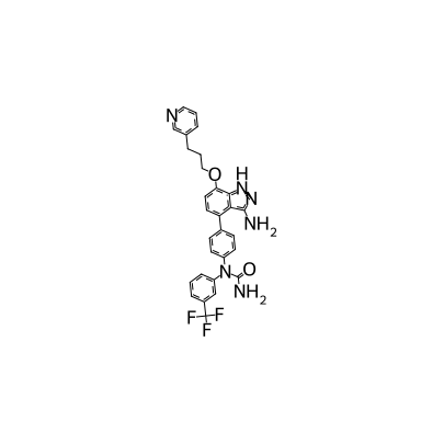 NC(=O)N(c1ccc(-c2ccc(OCCCc3cccnc3)c3[nH]nc(N)c23)cc1)c1cccc(C(F)(F)F)c1